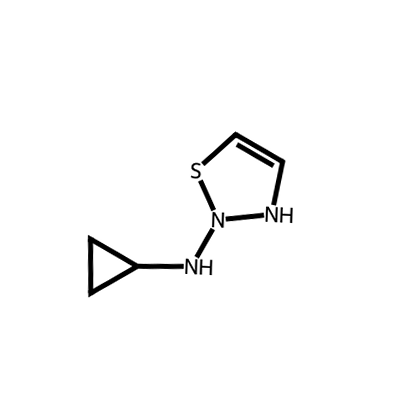 C1=CSN(NC2CC2)N1